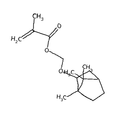 C=C(C)C(=O)OCOC1CC2CCC1(C)C2(C)C